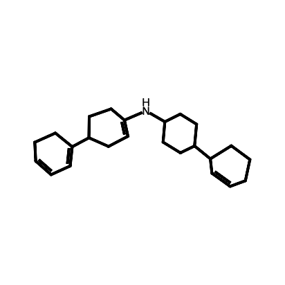 C1=CCCC(C2CC=C(NC3CCC(C4C=CCCC4)CC3)CC2)=C1